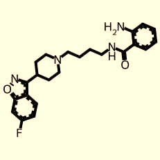 Nc1ccccc1C(=O)NCCCCN1CCC(c2noc3cc(F)ccc23)CC1